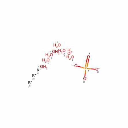 O.O.O.O.O.O.O.O.O=P([O-])([O-])[O-].[K+].[K+].[K+]